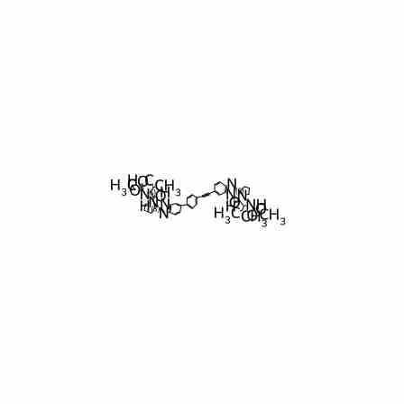 COC(=O)NC(C(=O)N1CCC[C@H]1c1nc2ccc(C#Cc3ccc(-c4ccc5nc([C@@H]6CCCN6C(=O)[C@@H](NC(=O)OC)C(C)C)[nH]c5c4)cc3)cc2[nH]1)C(C)C